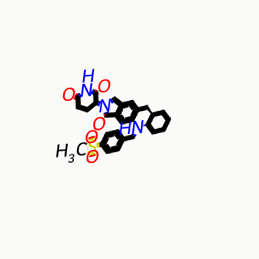 CS(=O)(=O)c1ccc(CN[C@H]2CCCC[C@@H]2Cc2ccc3c(c2)CN(C2CCC(=O)NC2=O)C3=O)cc1